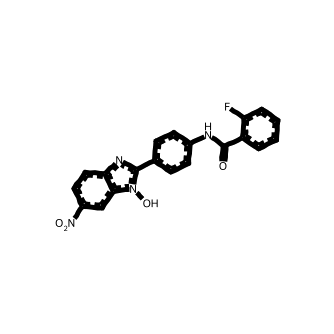 O=C(Nc1ccc(-c2nc3ccc([N+](=O)[O-])cc3n2O)cc1)c1ccccc1F